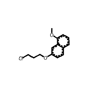 COc1cccc2ccc(OCCCCl)cc12